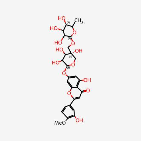 COc1ccc(-c2cc(=O)c3c(O)cc(O[C@@H]4OC[C@](O)(CO[C@@H]5OC(C)[C@H](O)C(O)C5O)C(O)C4O)cc3o2)cc1O